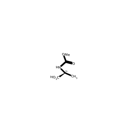 COC(=O)N[C@@H](C)C(=O)O